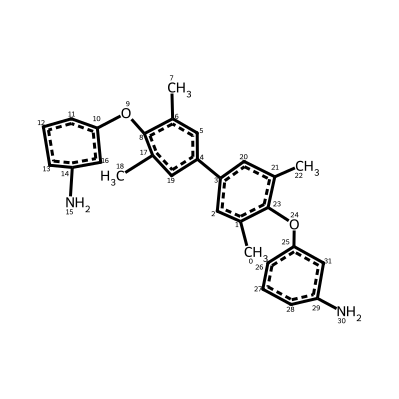 Cc1cc(-c2cc(C)c(Oc3cccc(N)c3)c(C)c2)cc(C)c1Oc1cccc(N)c1